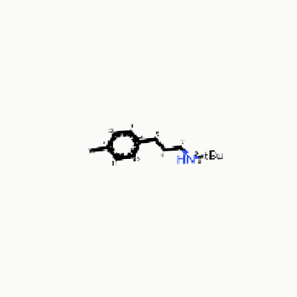 Cc1ccc(CCCNC(C)(C)C)cc1